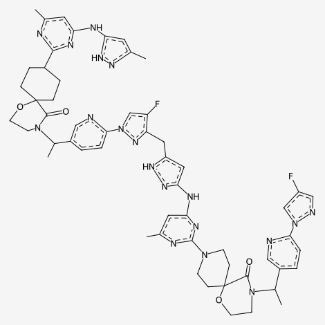 Cc1cc(Nc2cc(C)nc(C3CCC4(CC3)OCCN(C(C)c3ccc(-n5cc(F)c(Cc6cc(Nc7cc(C)nc(N8CCC9(CC8)OCCN(C(C)c8ccc(-n%10cc(F)cn%10)nc8)C9=O)n7)n[nH]6)n5)nc3)C4=O)n2)[nH]n1